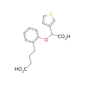 O=C(O)CCCc1ccccc1OC(C(=O)O)c1ccsc1